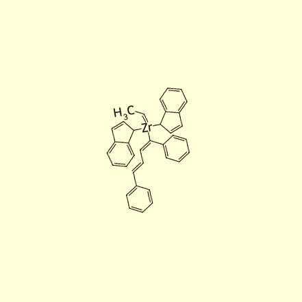 C[CH]=[Zr]([C](=CC=Cc1ccccc1)c1ccccc1)([CH]1C=Cc2ccccc21)[CH]1C=Cc2ccccc21